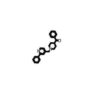 O=C(c1ccccc1)C1CCN(Cc2ccnc(-c3ccccc3)c2)CC1